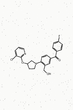 O=C(c1ccc(F)cc1)c1ccc(N2CCC(Oc3ncccc3Cl)C2)c(CO)c1